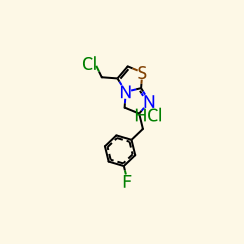 Cl.Fc1cccc(CC2CN3C(CCl)=CSC3=N2)c1